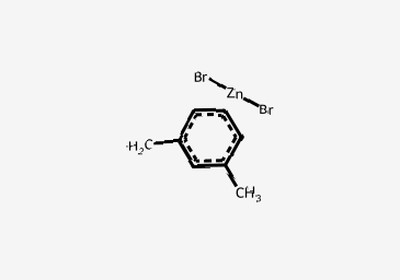 [Br][Zn][Br].[CH2]c1cccc(C)c1